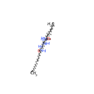 CCCCCCCCCCCCCCCCCC(=O)NCCNCCNCCNC(=O)CCCCCCCCCCC